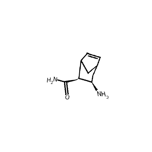 NC(=O)[C@H]1C2C=CC(C2)[C@H]1N